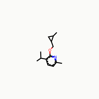 Cc1ccc(C(C)C)c(OCC2CC2C)n1